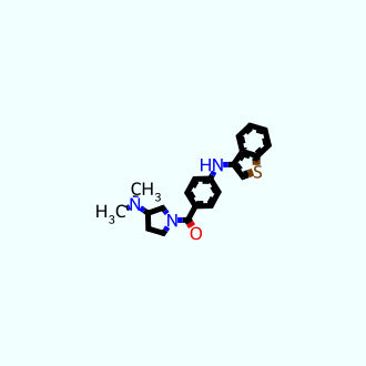 CN(C)C1CCN(C(=O)c2ccc(Nc3csc4ccccc34)cc2)C1